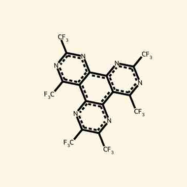 FC(F)(F)c1nc(C(F)(F)F)c2c(n1)c1nc(C(F)(F)F)nc(C(F)(F)F)c1c1nc(C(F)(F)F)c(C(F)(F)F)nc12